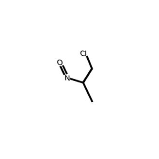 CC(CCl)N=O